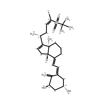 C=C1/C(=C\C=C2/CCC[C@]3(C)C([C@H](C)C/C=C(/F)S(=O)(=O)C(C)(C)C)=CC[C@@H]23)C[C@H](O)C[C@H]1O